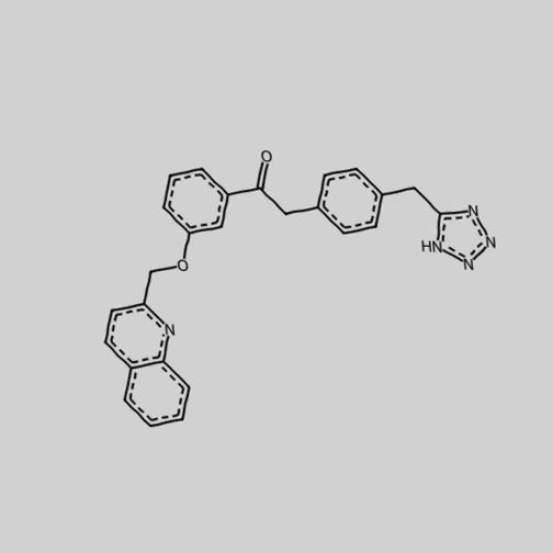 O=C(Cc1ccc(Cc2nnn[nH]2)cc1)c1cccc(OCc2ccc3ccccc3n2)c1